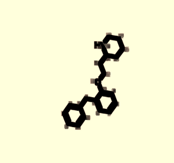 c1ccc(Cc2ccccc2OCCC2CCCCN2)cc1